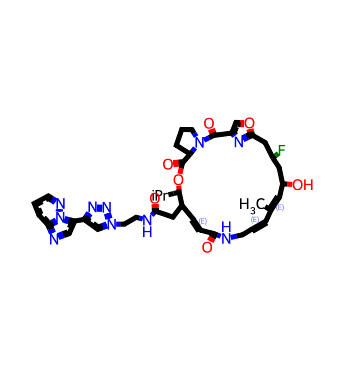 CC1=C\C(O)CC(F)Cc2nc(co2)C(=O)N2CCCC2C(=O)OC(C(C)C)C(CC(=O)NCCn2cc(-c3cnc4cccnn34)nn2)/C=C/C(=O)NC\C=C\1